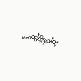 COc1ccc(CN2C(=O)CCc3c(OCC4(N)CCN(c5cc(F)c(F)cc5F)CC4)ccc(F)c32)cc1